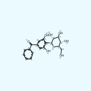 O=C(c1ccccc1)c1cc(O)c([C@@H]2O[C@H](CO)[C@@H](O)[C@H](O)[C@H]2O)c(O)c1